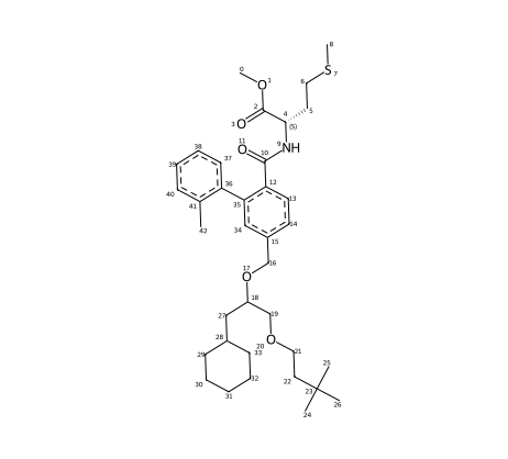 COC(=O)[C@H](CCSC)NC(=O)c1ccc(COC(COCCC(C)(C)C)CC2CCCCC2)cc1-c1ccccc1C